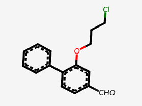 O=Cc1ccc(-c2ccccc2)c(OCCCCl)c1